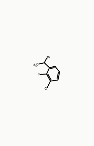 CC(C)C(C)c1cccc(Cl)c1F